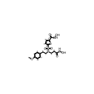 COc1ccc(CCN(CCC(=O)NO)S(=O)(=O)c2ccc(C(=O)NO)s2)cc1